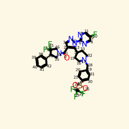 O=C(c1cnn(-c2ncc(F)cn2)c1C1CCN(Cc2ccc(S(=O)(=O)C(F)(F)F)cc2)CC1)N1C[C@@H](c2ccccc2)C(F)(F)C1